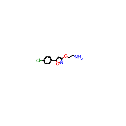 NCCOc1cc(-c2ccc(Cl)cc2)on1